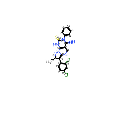 Cc1nn2c(ncc3c(=N)n(-c4ccccc4)c(=S)[nH]c32)c1-c1ccc(Cl)cc1Cl